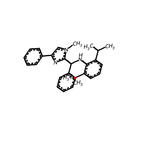 CC(C)c1cccc(C(C)C)c1NC(c1ccccc1)c1nc(-c2ccccc2)cn1C